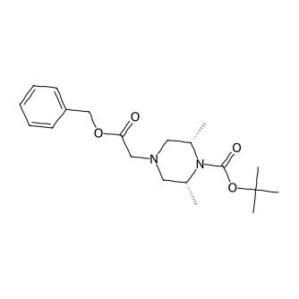 C[C@@H]1CN(CC(=O)OCc2ccccc2)C[C@H](C)N1C(=O)OC(C)(C)C